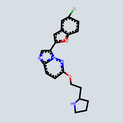 Clc1ccc2oc(-c3cnc4ccc(OCCC5CCCN5)nn34)cc2c1